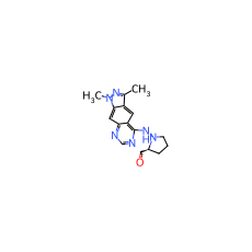 Cc1nn(C)c2cc3ncnc(NN4CCC[C@H]4C=O)c3cc12